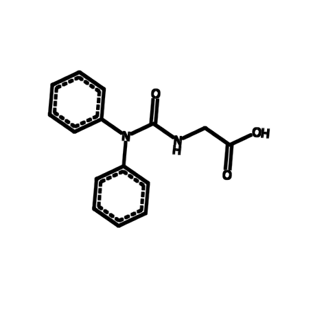 O=C(O)CNC(=O)N(c1ccccc1)c1ccccc1